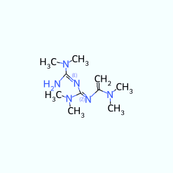 C=C(/N=C(\N=C(/N)N(C)C)N(C)C)N(C)C